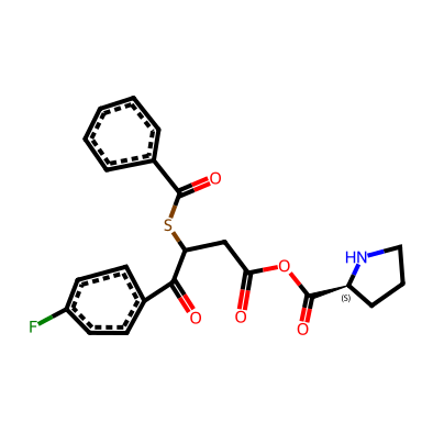 O=C(CC(SC(=O)c1ccccc1)C(=O)c1ccc(F)cc1)OC(=O)[C@@H]1CCCN1